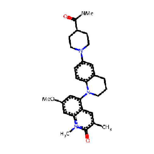 CNC(=O)C1CCN(c2ccc3c(c2)CCCN3c2cc(OC)cc3c2cc(C)c(=O)n3C)CC1